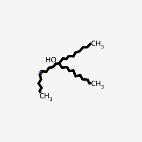 CCCCC/C=C\CCCC(O)C(CCCCCCCCCC)CCCCCCCCCC